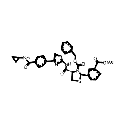 COC(=O)c1cccc(C2SC[C@@H](C(=O)Nc3nc(-c4ccc(C(=O)NC5CC5)cc4)cs3)N2C(=O)OCc2ccccc2)c1